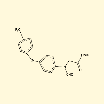 COC(=O)CN(C=O)c1ccc(Oc2ccc(C(F)(F)F)cc2)cc1